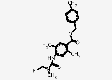 Cc1ccc(COC(=O)c2cc(C)c(NC(=S)N(C)CC(C)C)cc2C)cc1